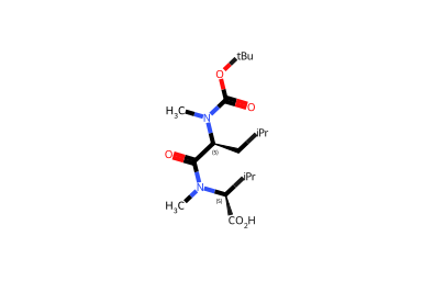 CC(C)C[C@@H](C(=O)N(C)[C@H](C(=O)O)C(C)C)N(C)C(=O)OC(C)(C)C